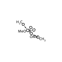 COc1cc2c(cc1C#Cc1ccc(C)cc1)[Si](c1ccccc1)(c1ccccc1)c1cc(C#Cc3ccc(C)cc3)c(OC)cc1-2